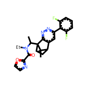 CCN(C(=O)c1ncco1)C(C)C12CCC(c3cc(-c4c(F)cccc4F)nnc31)C2(C)C